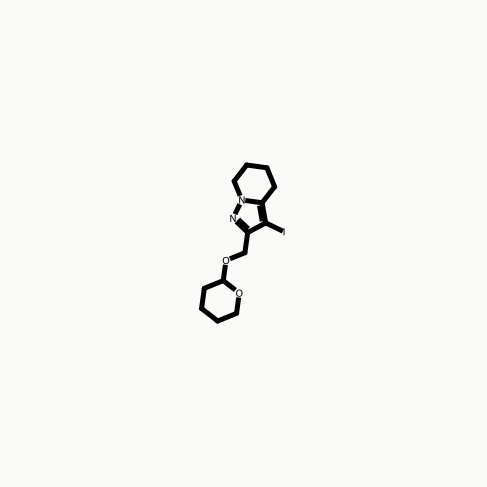 Ic1c(COC2CCCCO2)nn2c1CCCC2